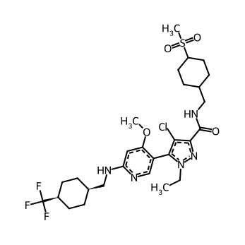 CCn1nc(C(=O)NCC2CCC(S(C)(=O)=O)CC2)c(Cl)c1-c1cnc(NC[C@H]2CC[C@@H](C(F)(F)F)CC2)cc1OC